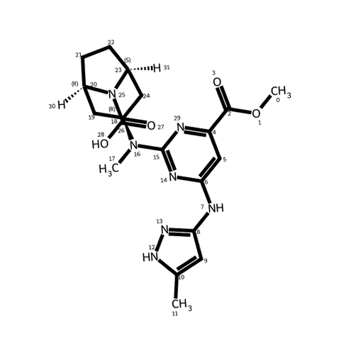 COC(=O)c1cc(Nc2cc(C)[nH]n2)nc(N(C)[C@H]2C[C@H]3CC[C@@H](C2)N3C(=O)O)n1